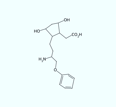 NC(CCC1C(O)CC(O)C1CC(=O)O)COc1ccccc1